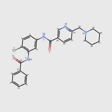 O=C(Nc1ccc(Cl)c(NC(=O)c2ccccc2)c1)c1ccc(CN2CCCCC2)nc1